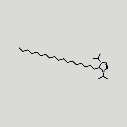 CCCCCCCCCCCCCCCCCCC1N(C(C)C)C=CN1C(C)C